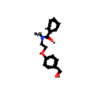 CN(CCOc1ccc(C=O)cc1)C(=O)c1ccccc1